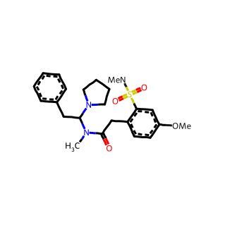 CNS(=O)(=O)c1cc(OC)ccc1CC(=O)N(C)C(Cc1ccccc1)N1CCCC1